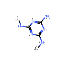 CC(C)(C)Nc1nc(N)nc(NC(C)(C)C)n1